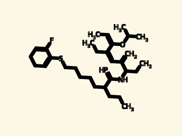 C=C(/C=C(CC)\C(=C/C)OC(C)C)C(CC)NC(=P)C(CCC)CCCCCSC1=CCCC=C1F